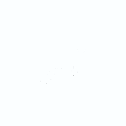 CC(=O)Nc1ccc(OC[C@H]2CO[C@@](CCc3ccc(Cl)cc3)(Cn3ccnc3)O2)cc1